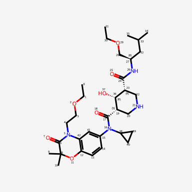 CCOCCN1C(=O)C(C)(C)Oc2ccc(N(C(=O)[C@H]3CNC[C@@H](C(=O)N[C@@H](COCC)CC(C)C)[C@H]3O)C3CC3)cc21